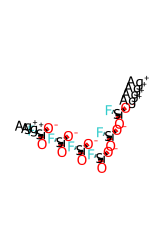 O=[Si]([O-])F.O=[Si]([O-])F.O=[Si]([O-])F.O=[Si]([O-])F.O=[Si]([O-])F.O=[Si]([O-])F.[Ag+].[Ag+].[Ag+].[Ag+].[Ag+].[Ag+]